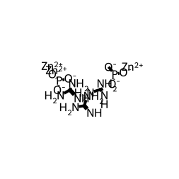 N=C(N)N.N=C(N)N.N=C(N)N.[O-]P([O-])[O-].[O-]P([O-])[O-].[Zn+2].[Zn+2].[Zn+2]